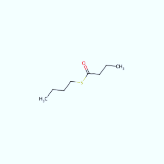 CCCCSC(=O)CCC